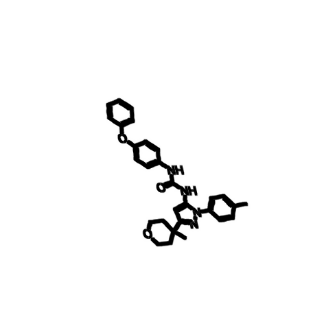 Cc1ccc(-n2nc(C3(C)CCOCC3)cc2NC(=O)Nc2ccc(Oc3ccccc3)cc2)cc1